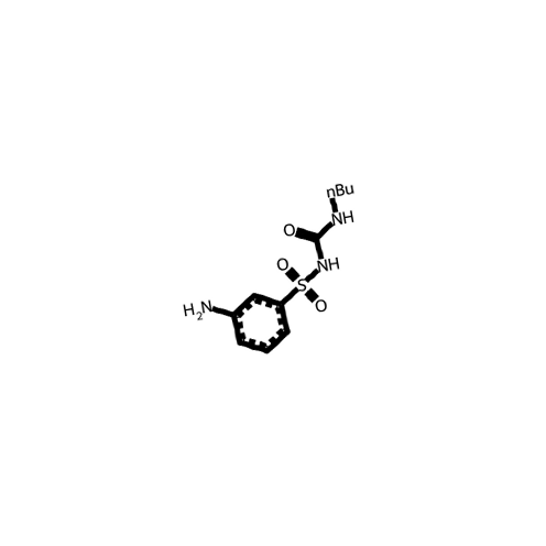 CCCCNC(=O)NS(=O)(=O)c1cccc(N)c1